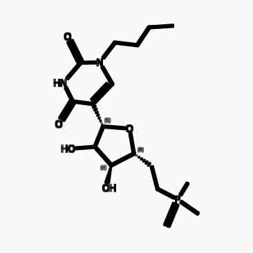 C=P(C)(C)CC[C@H]1O[C@@H](c2cn(CCCC)c(=O)[nH]c2=O)C(O)[C@@H]1O